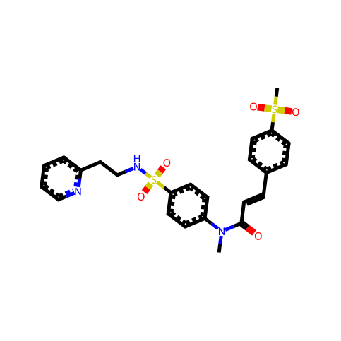 CN(C(=O)/C=C/c1ccc(S(C)(=O)=O)cc1)c1ccc(S(=O)(=O)NCCc2ccccn2)cc1